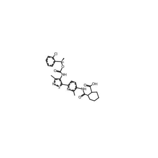 Cc1nc(-c2snc(C)c2NC(=O)O[C@H](C)c2ccccc2Cl)ccc1NC(=O)C1CCCCC1C(=O)O